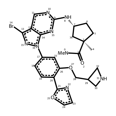 CNC(=O)[C@]1(C)CC[C@@H](Nc2ncc3c(Br)nn(-c4ccc(-c5ncco5)c(OCC5CNC5)c4)c3n2)C1